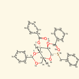 O=C(O[C@H]1[C@H]2OC(c3ccccc3)OC[C@H]2O[C@@H](SCc2ccccc2)[C@@H]1OC(=O)c1ccccc1)c1ccccc1